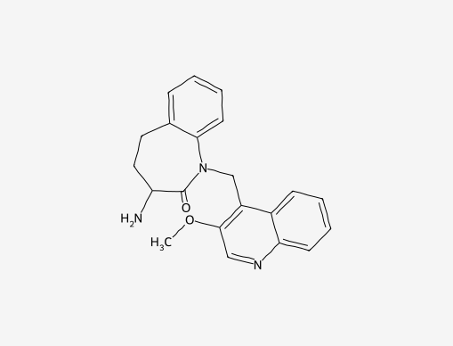 COc1cnc2ccccc2c1CN1C(=O)C(N)CCc2ccccc21